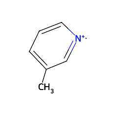 CC1=CC=C[N+]=C1